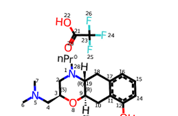 CCCN1C[C@H](CN(C)C)O[C@@H]2Cc3c(O)cccc3C[C@H]21.O=C(O)C(F)(F)F